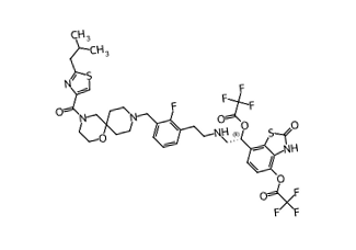 CC(C)Cc1nc(C(=O)N2CCOC3(CCN(Cc4cccc(CCNC[C@H](OC(=O)C(F)(F)F)c5ccc(OC(=O)C(F)(F)F)c6[nH]c(=O)sc56)c4F)CC3)C2)cs1